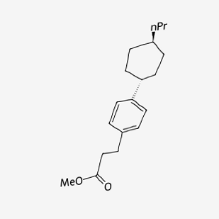 CCC[C@H]1CC[C@H](c2ccc(CCC(=O)OC)cc2)CC1